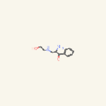 NC(CNCCO)C(=O)c1ccccc1